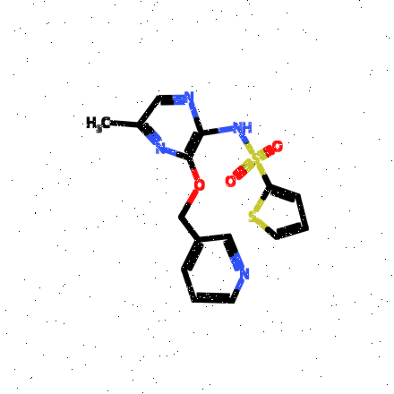 Cc1cnc(NS(=O)(=O)c2cccs2)c(OCc2cccnc2)n1